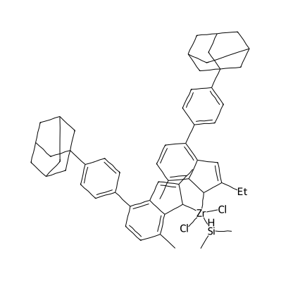 CCC1=Cc2c(-c3ccc(C45CC6CC(CC(C6)C4)C5)cc3)ccc(C)c2[CH]1[Zr]([Cl])([Cl])([CH]1C(C)=Cc2c(-c3ccc(C45CC6CC(CC(C6)C4)C5)cc3)ccc(C)c21)[SiH](C)C